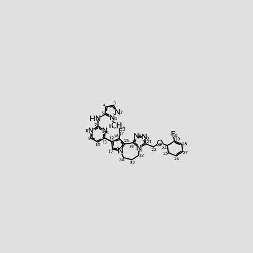 Cn1nccc1Nc1nccc(-c2cn3c(c2F)-c2nnc(COC4CC=CC=C4F)n2CCC3)n1